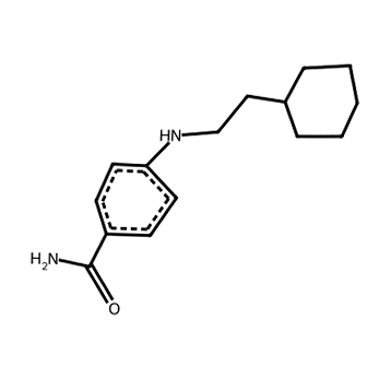 NC(=O)c1ccc(NCCC2CCCCC2)cc1